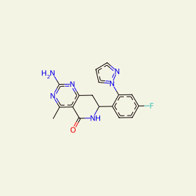 Cc1nc(N)nc2c1C(=O)NC(c1ccc(F)cc1-n1cccn1)C2